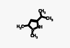 CC(C)C1=CC(C)N(C)N1